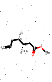 C=CC[C@H](C(C)C)[C@H](CC(=O)OC(C)(C)C)C(=O)O